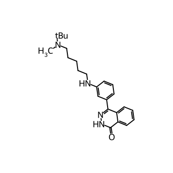 CN(CCCCCNc1cccc(-c2n[nH]c(=O)c3ccccc23)c1)C(C)(C)C